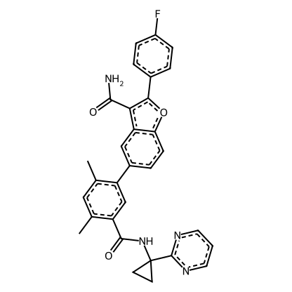 Cc1cc(C)c(-c2ccc3oc(-c4ccc(F)cc4)c(C(N)=O)c3c2)cc1C(=O)NC1(c2ncccn2)CC1